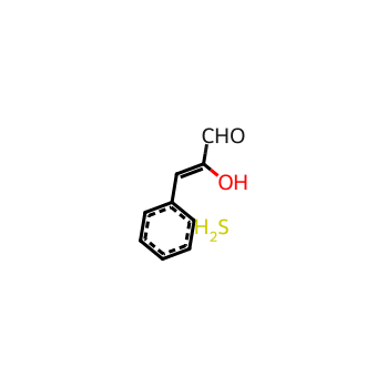 O=CC(O)=Cc1ccccc1.S